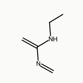 C=NC(=C)NCC